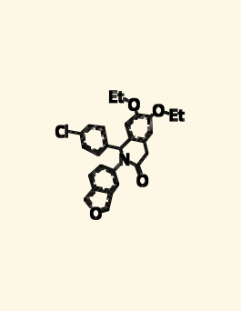 CCOc1cc2c(cc1OCC)C(c1ccc(Cl)cc1)N(c1ccc3cocc3c1)C(=O)C2